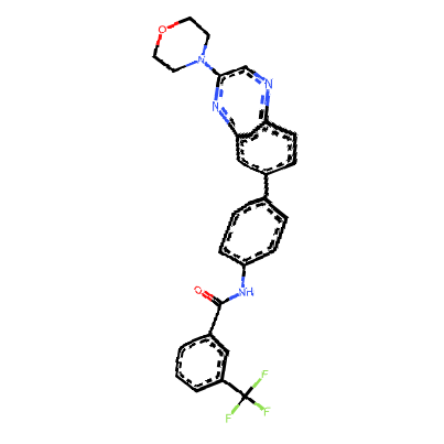 O=C(Nc1ccc(-c2ccc3ncc(N4CCOCC4)nc3c2)cc1)c1cccc(C(F)(F)F)c1